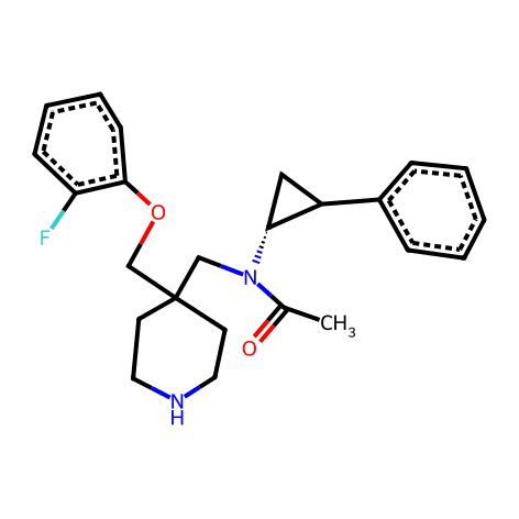 CC(=O)N(CC1(COc2ccccc2F)CCNCC1)[C@@H]1CC1c1ccccc1